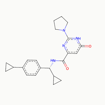 O=C(N[C@@H](c1ccc(C2CC2)cc1)C1CC1)c1cc(=O)[nH]c(N2CCCC2)n1